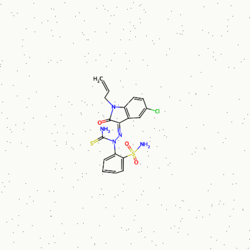 C=CCN1C(=O)/C(=N\N(C(N)=S)c2ccccc2S(N)(=O)=O)c2cc(Cl)ccc21